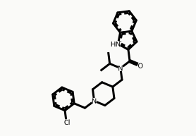 CC(C)N(CC1CCN(Cc2ccccc2Cl)CC1)C(=O)c1cc2ccccc2[nH]1